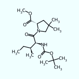 CC[C@H](C)[C@H](NC(=O)OC(C)(C)C)C(=O)N1CC(C)(C)C[C@H]1C(=O)OC